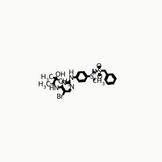 C[C@@H](Nc1nc(Nc2ccc(/S(C)=N/S(=O)(=O)Cc3ccccc3)cc2)ncc1Br)C(C)(C)O